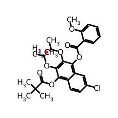 COc1ccccc1C(=O)Oc1c(OC(C)C)c(OC(C)C)c(OC(=O)C(C)(C)C)c2ccc(Cl)cc12